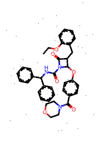 CCOc1ccccc1CC1C(=O)N(C(=O)NC(c2ccccc2)c2ccccc2)C1Oc1ccc(C(=O)N2CCOCC2)cc1